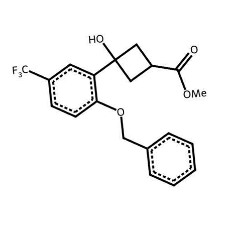 COC(=O)C1CC(O)(c2cc(C(F)(F)F)ccc2OCc2ccccc2)C1